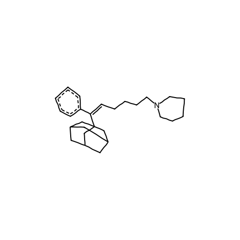 C(/CCCCN1CCCCC1)=C(\c1ccccc1)C12CC3CC(CC(C3)C1)C2